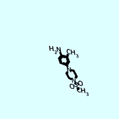 Cc1cc(N2CCN(S(C)(=O)=O)CC2)ccc1N